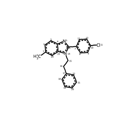 Cc1ccc2nc(-c3ccc(Cl)cc3)n(CCc3ccccc3)c2c1